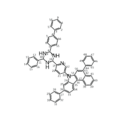 c1ccc(-c2ccc(C3NC(c4ccccc4)NC(c4ccc(-n5c6cc(-c7ccccc7)ccc6c6c7ccccc7c(-c7ccccc7)cc65)cn4)N3)cc2)cc1